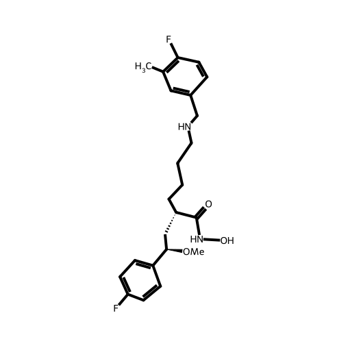 CO[C@H](C[C@H](CCCCNCc1ccc(F)c(C)c1)C(=O)NO)c1ccc(F)cc1